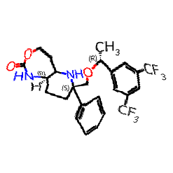 C[C@@H](OC[C@@]1(c2ccccc2)CC[C@H]2NC(=O)OCCC2N1)c1cc(C(F)(F)F)cc(C(F)(F)F)c1